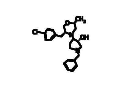 C[C@H]1CN(C2CCN(Cc3ccccc3)C[C@H]2O)[C@@H](Cc2ccc(Cl)cc2)CO1